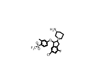 Cc1cc(OC2c3cc(Cl)cc(F)c3CC2N2CCC[C@@H](N)C2)ccc1S(=O)(=O)C(F)(F)F